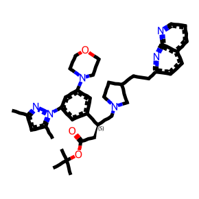 Cc1cc(C)n(-c2cc([C@H](CC(=O)OC(C)(C)C)CN3CCC(CCc4ccc5cccnc5n4)C3)cc(N3CCOCC3)c2)n1